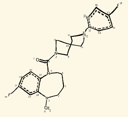 CN1CCCN(C(=O)N2CC3(C2)CN(c2ccc(F)cn2)C3)c2ccc(F)cc21